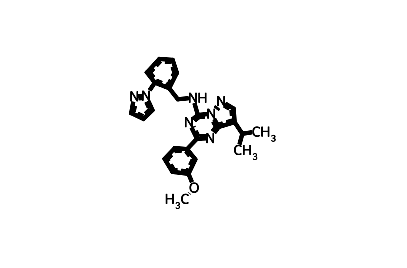 COc1cccc(-c2nc(NCc3ccccc3-n3cccn3)n3ncc(C(C)C)c3n2)c1